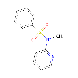 CN(c1ccccn1)S(=O)(=O)c1[c]cccc1